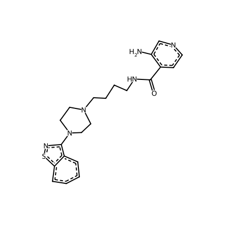 Nc1cnccc1C(=O)NCCCCN1CCN(c2nsc3ccccc23)CC1